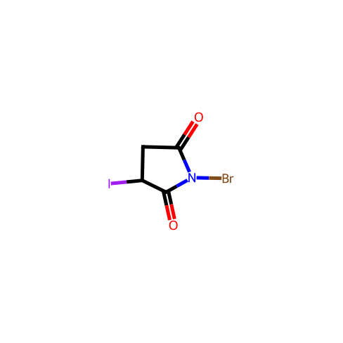 O=C1CC(I)C(=O)N1Br